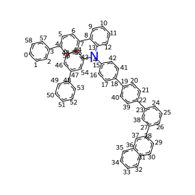 c1ccc(-c2ccc(-c3ccccc3N(c3ccc(-c4ccc(-c5cccc(-c6ccc7ccccc7c6)c5)cc4)cc3)c3cccc(-c4ccccc4)c3)cc2)cc1